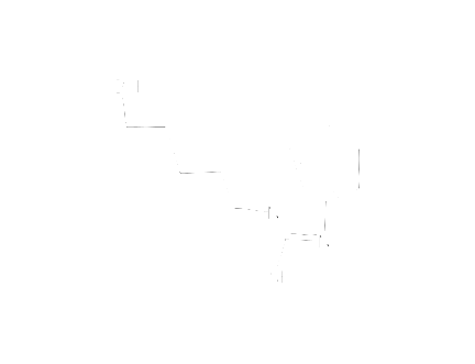 BCCCCCn1c(S)nc2ccccc21